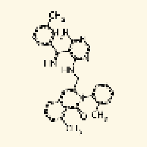 Cc1cccc(C(=N)c2c(N)ncnc2NCc2cc3cccc(C)c3c(=O)n2-c2ccccc2C)c1